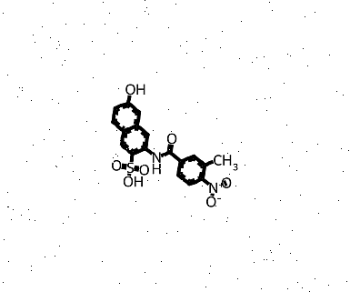 Cc1cc(C(=O)Nc2cc3cc(O)ccc3cc2S(=O)(=O)O)ccc1[N+](=O)[O-]